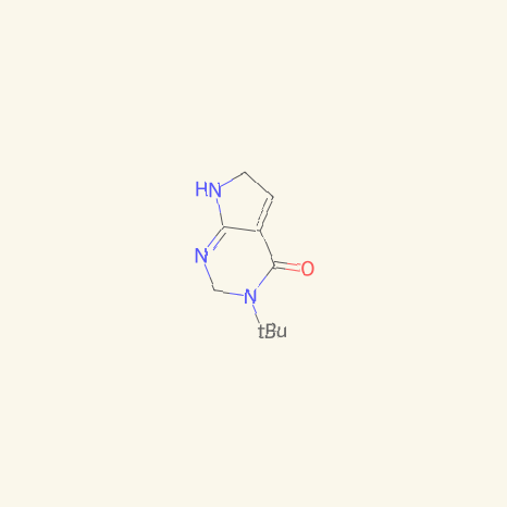 CC(C)(C)N1CN=C2NCC=C2C1=O